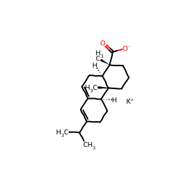 CC(C)C1=CC2=CC[C@@H]3[C@](C)(CCC[C@@]3(C)C(=O)[O-])[C@H]2CC1.[K+]